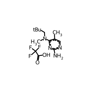 Cc1cnc(N)nc1N(C)CC(C)(C)C.O=C(O)C(F)(F)F